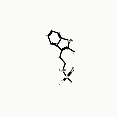 Cc1[nH]c2ccccc2c1CCNS(C)(=O)=O